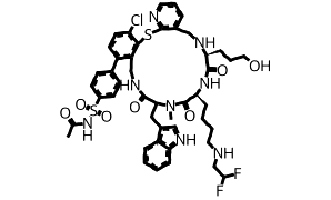 CC(=O)NS(=O)(=O)c1ccc(-c2ccc(Cl)c3c2CNC(=O)C(Cc2c[nH]c4ccccc24)N(C)C(=O)[C@H](CCCCNCC(F)F)NC(=O)[C@H](CCCO)NCc2cccnc2S3)cc1